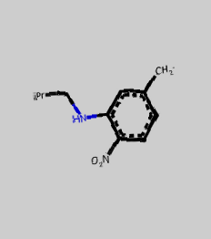 [CH2]c1ccc([N+](=O)[O-])c(NCC(C)C)c1